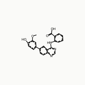 COc1cc(-c2ccc3ncnc(Nc4ccccc4C(=O)O)c3c2)ccc1O